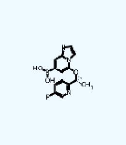 C[C@@H](Oc1cc(B(O)O)cc2nccn12)c1ccc(F)cn1